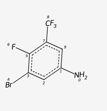 Nc1cc(Br)c(F)c(C(F)(F)F)c1